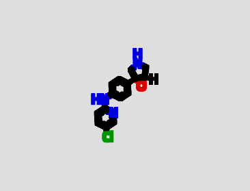 Clc1ccc(Nc2ccc([C@@]34CNC[C@@H]3O4)cc2)nc1